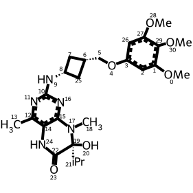 COc1cc(OC[C@H]2C[C@@H](Nc3nc(C)c4c(n3)N(C)[C@](O)(C(C)C)C(=O)N4)C2)cc(OC)c1OC